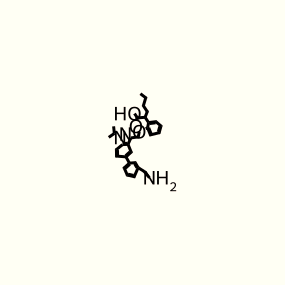 CCCCC(C(=O)O)c1ccccc1OCc1nn(C(C)C)c2ccc(-c3cccc(CN)c3)cc12